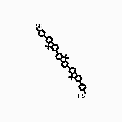 CC1(C)c2cc(-c3ccc(CS)cc3)ccc2-c2ccc(-c3ccc4c(c3)C(C)(C)c3cc(-c5ccc6c(c5)C(C)(C)c5cc(-c7ccc(CS)cc7)ccc5-6)ccc3-4)cc21